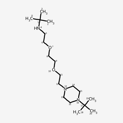 CC(C)(C)NCCOCCOCCN1CCN(C(C)(C)C)CC1